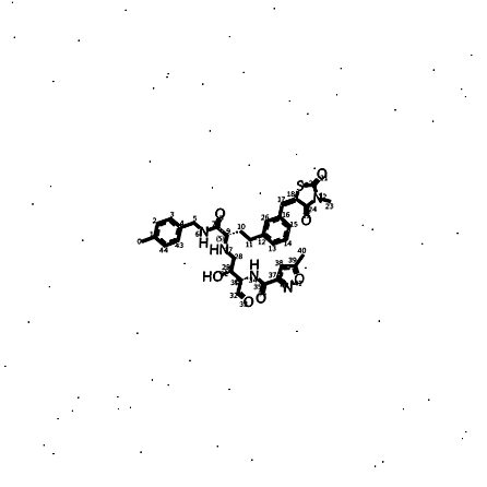 Cc1ccc(CNC(=O)[C@H](CCc2cccc(C=C3SC(=O)N(C)C3=O)c2)NC[C@H](O)[C@@H](C=O)NC(=O)c2cc(C)on2)cc1